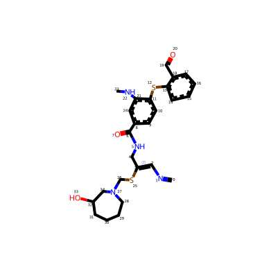 C=N/C=C(/CNC(=O)c1ccc(Sc2ccccc2C=O)c(NC)c1)SCN1CCCCC(O)C1